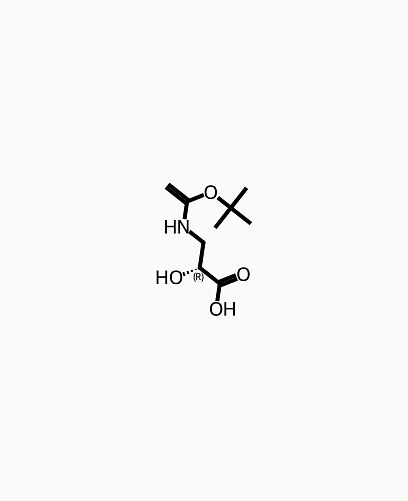 C=C(NC[C@@H](O)C(=O)O)OC(C)(C)C